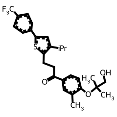 Cc1cc(C(=O)CCc2sc(-c3ccc(C(F)(F)F)cc3)cc2C(C)C)ccc1OC(C)(C)CO